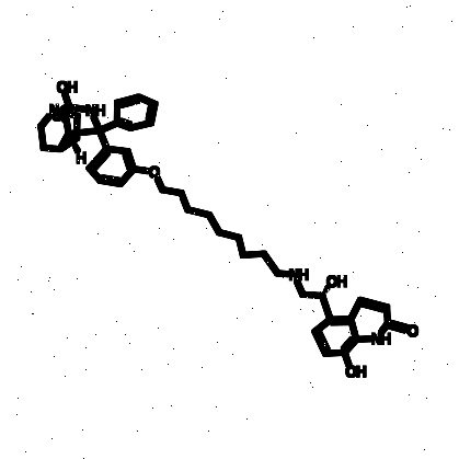 O=C(O)NC(c1ccccc1)(c1cccc(OCCCCCCCCCNC[C@H](O)c2ccc(O)c3[nH]c(=O)ccc23)c1)[C@H]1CN2CCC1CC2